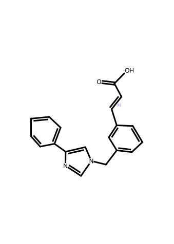 O=C(O)/C=C/c1cccc(Cn2cnc(-c3ccccc3)c2)c1